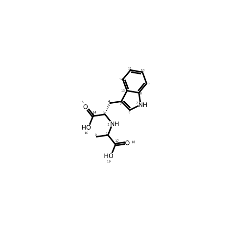 CC(N[C@@H](Cc1c[nH]c2ccccc12)C(=O)O)C(=O)O